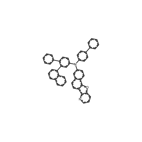 c1ccc(-c2ccc(N(c3ccc(-c4ccccc4)c(-c4cccc5ccccc45)c3)c3ccc4c(ccc5c6ncccc6oc45)c3)cc2)cc1